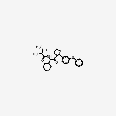 CNC(C)C(=O)NC(C(=O)N1CCCC1c1cccc(Sc2ccccc2)c1)C1CCCCC1